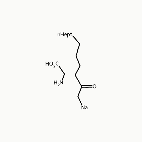 CCCCCCCCCCCC(=O)[CH2][Na].NCC(=O)O